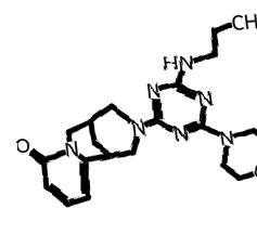 CCCNc1nc(N2CCOCC2)nc(N2CC3CC(C2)c2cccc(=O)n2C3)n1